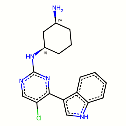 N[C@H]1CCC[C@@H](Nc2ncc(Cl)c(-c3c[nH]c4ccccc34)n2)C1